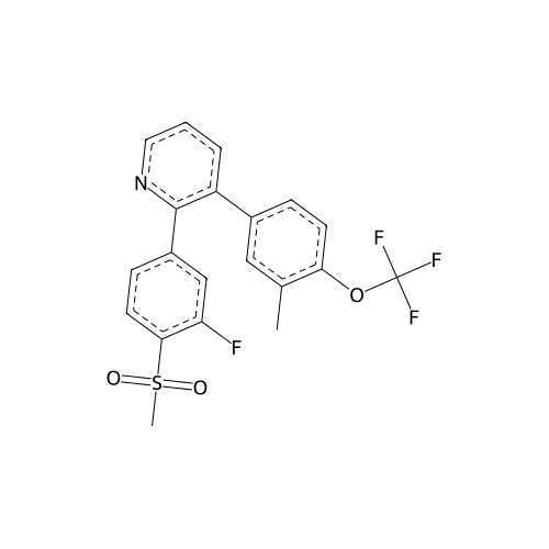 Cc1cc(-c2cccnc2-c2ccc(S(C)(=O)=O)c(F)c2)ccc1OC(F)(F)F